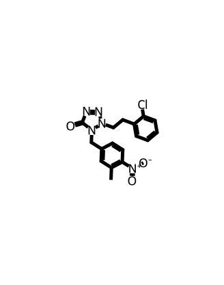 Cc1cc(Cn2c(=O)nnn2CCc2ccccc2Cl)ccc1[N+](=O)[O-]